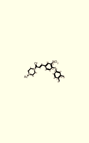 CC(=O)N1CCN(C(=O)C=Cc2ccc(Sc3ccc(C)c(C)c3)c([N+](=O)[O-])c2)CC1